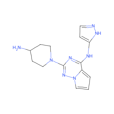 NC1CCN(c2nc(Nc3ccn[nH]3)c3cccn3n2)CC1